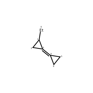 CCC1CC1=C1CC1